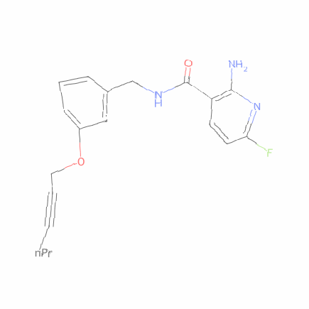 CCCC#CCOc1cccc(CNC(=O)c2ccc(F)nc2N)c1